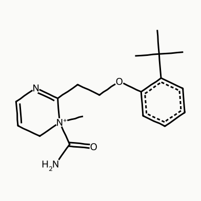 CC(C)(C)c1ccccc1OCCC1=NC=CC[N+]1(C)C(N)=O